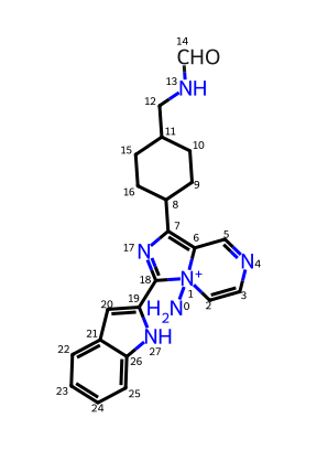 N[N+]12C=CN=CC1=C(C1CCC(CNC=O)CC1)N=C2c1cc2ccccc2[nH]1